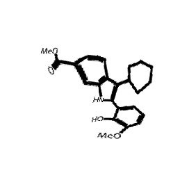 COC(=O)c1ccc2c(C3CCCCC3)c(-c3cccc(OC)c3O)[nH]c2c1